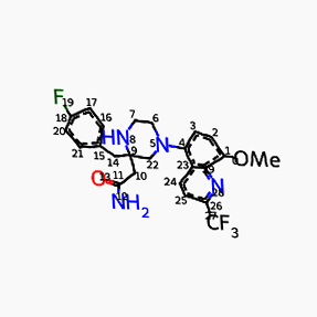 COc1ccc(N2CCNC(CC(N)=O)(Cc3ccc(F)cc3)C2)c2ccc(C(F)(F)F)nc12